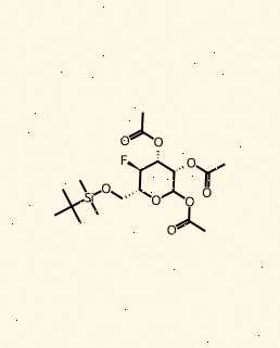 CC(=O)OC1O[C@H](CO[Si](C)(C)C(C)(C)C)[C@@H](F)[C@H](OC(C)=O)[C@@H]1OC(C)=O